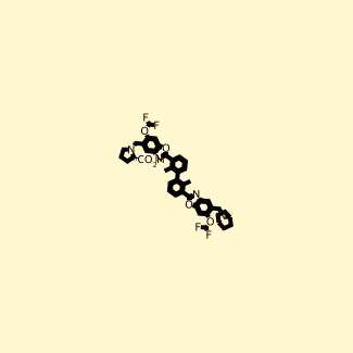 Cc1c(-c2nc3cc(CN4C5CCC4CC5)c(OC(F)F)cc3o2)cccc1-c1cccc(-c2nc3cc(CN4CCC[C@H]4C(=O)O)c(OC(F)F)cc3o2)c1C